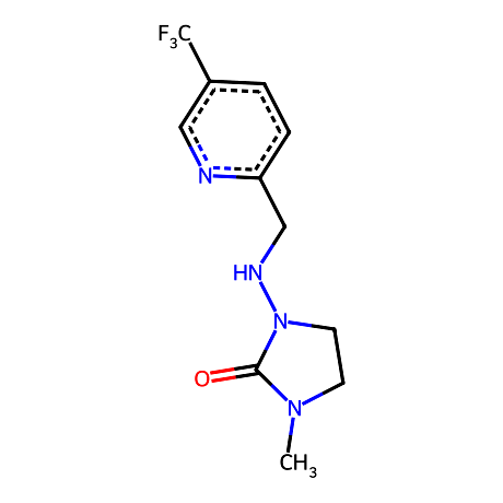 CN1CCN(NCc2ccc(C(F)(F)F)cn2)C1=O